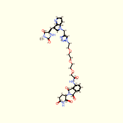 CCN1C(=O)N/C(=C\c2cn(Cc3cn(CCOCCOCCOCC(=O)Nc4cccc5c4C(=O)N(C4CCC(=O)NC4=O)C5=O)nn3)c3cccnc23)C1=O